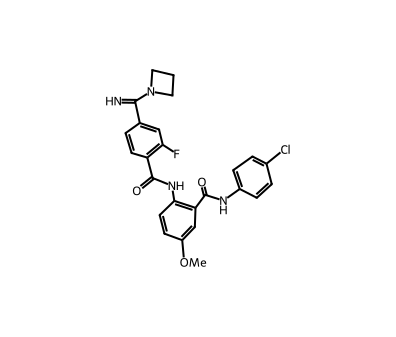 COc1ccc(NC(=O)c2ccc(C(=N)N3CCC3)cc2F)c(C(=O)Nc2ccc(Cl)cc2)c1